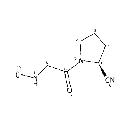 N#C[C@@H]1CCCN1C(=O)CNCl